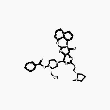 Cc1nc2c(N3CCN(OC(=O)c4ccccc4)[C@@H](CC#N)C3)nc(OC[C@@H]3CCCN3C)nc2c(=O)n1-c1cccc2cccc(Cl)c12